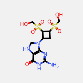 Nc1nc2c(c(=O)[nH]1)NCN2C1CC(S(=O)(=O)CO)C1S(=O)(=O)CO